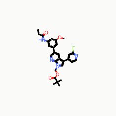 C=CC(=O)Nc1cc(OC)cc(-c2cnc3c(c2)c(-c2ccnc(F)c2)cn3COC(=O)C(C)(C)C)c1